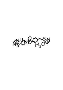 Cn1ccnc1SCCc1ccc(OC(=O)N2CCC(Sc3ncc[nH]3)CC2)cc1